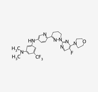 CN(C)c1cc(Nc2ccc(C3=NN(c4ncc(F)c(N5CCOCC5)n4)CCC3)nc2)cc(C(F)(F)F)c1